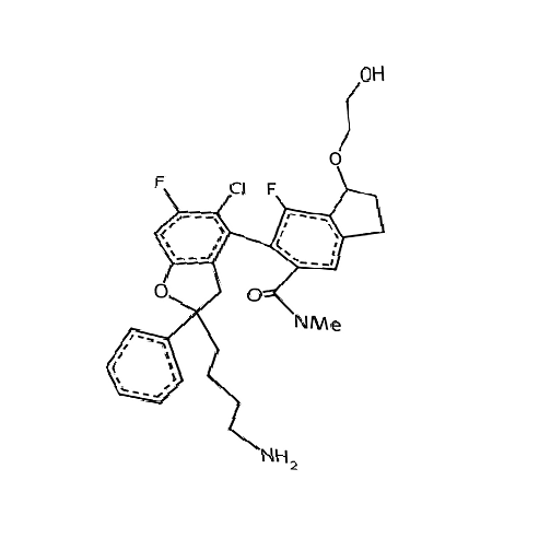 CNC(=O)c1cc2c(c(F)c1-c1c(Cl)c(F)cc3c1CC(CCCCN)(c1ccccc1)O3)C(OCCO)CC2